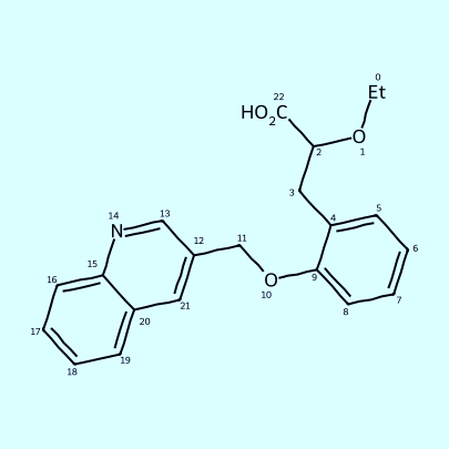 CCOC(Cc1ccccc1OCc1cnc2ccccc2c1)C(=O)O